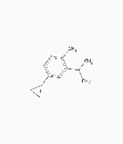 [CH2]C(C)c1cc(C2CC2)ccc1C